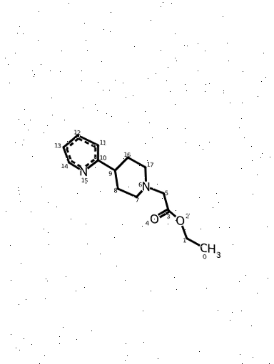 CCOC(=O)CN1CCC(c2ccccn2)CC1